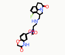 O=C1COc2ccc(N3CC4(CCNCC5CN6C(=O)CCc7ccc(F)c5c76)OC3O4)cc2N1